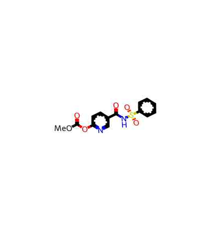 COC(=O)Oc1ccc(C(=O)NS(=O)(=O)c2ccccc2)cn1